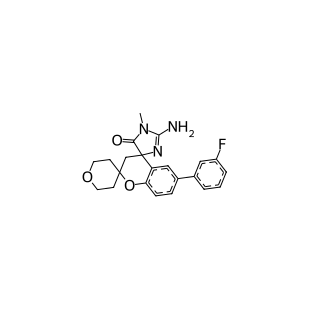 CN1C(=O)C2(CC3(CCOCC3)Oc3ccc(-c4cccc(F)c4)cc32)N=C1N